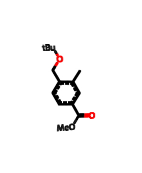 COC(=O)c1ccc(COC(C)(C)C)c(C)c1